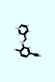 N#Cc1ccc(I)c(OCc2cccnc2)c1